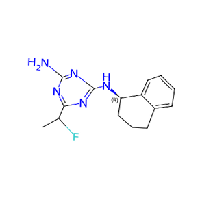 CC(F)c1nc(N)nc(N[C@@H]2CCCc3ccccc32)n1